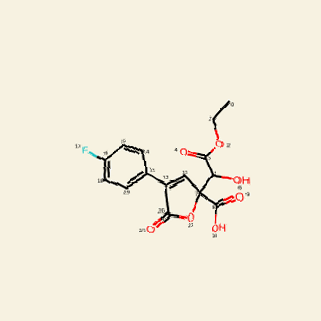 CCOC(=O)C(O)C1(C(=O)O)C=C(c2ccc(F)cc2)C(=O)O1